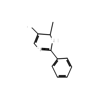 CC1NC(c2ccccc2)=NC=C1Cl